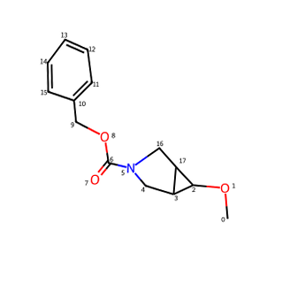 COC1C2CN(C(=O)OCc3ccccc3)CC21